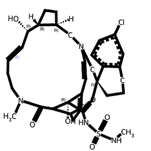 CNS(=O)(=O)NC(=O)[C@]1(O)C2=CC=C3OC[C@]4(CCCc5cc(Cl)ccc54)CN(C=C2)C[C@@H]2CC[C@H]2[C@@H](O)/C=C/CCN(C)C(=O)C31